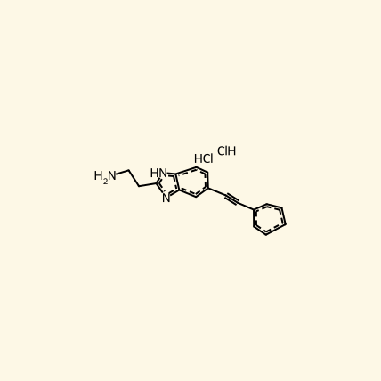 Cl.Cl.NCCc1nc2cc(C#Cc3ccccc3)ccc2[nH]1